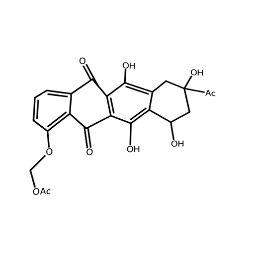 CC(=O)OCOc1cccc2c1C(=O)c1c(O)c3c(c(O)c1C2=O)CC(O)(C(C)=O)CC3O